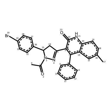 CC(=O)N1N=C(c2c(-c3ccccc3)c3cc(C)ccc3[nH]c2=O)CC1c1ccc(Br)cc1